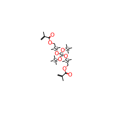 C=C(C)C(=O)OC[Si](C)(C)O[Si](O[Si](C)(C)C)(O[Si](C)(C)C)O[Si](C)(C)COC(=O)C(=C)C